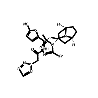 Cc1nnc(C(C)C)n1[C@@H]1C[C@H]2CC[C@@H](C1)N2CC[C@H](NC(=O)Cn1ncnn1)c1ccc(C#N)s1